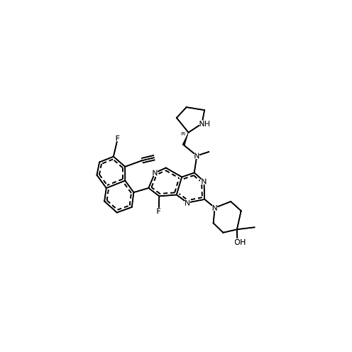 C#Cc1c(F)ccc2cccc(-c3ncc4c(N(C)C[C@H]5CCCN5)nc(N5CCC(C)(O)CC5)nc4c3F)c12